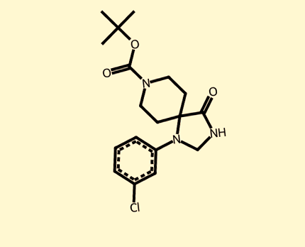 CC(C)(C)OC(=O)N1CCC2(CC1)C(=O)NCN2c1cccc(Cl)c1